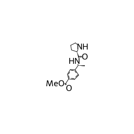 COC(=O)c1ccc([C@H](C)NC(=O)[C@H]2CCCN2)cc1